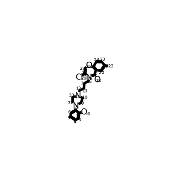 COc1ccccc1N1CCN(CCCCN2C(=O)c3cc(C)ccc3OC=C2Cl)CC1